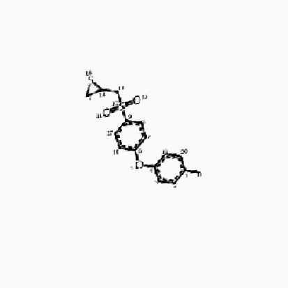 Cc1ccc(Oc2ccc(S(=O)(=O)CC3CS3)cc2)cc1